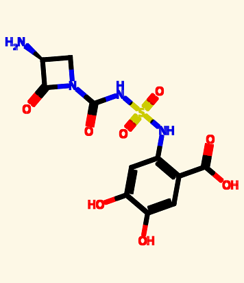 N[C@H]1CN(C(=O)NS(=O)(=O)Nc2cc(O)c(O)cc2C(=O)O)C1=O